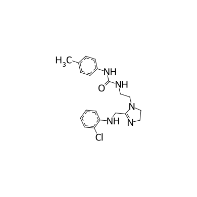 Cc1ccc(NC(=O)NCCN2CCN=C2CNc2ccccc2Cl)cc1